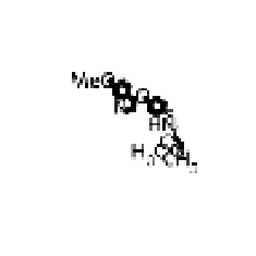 COc1ccc2c(Oc3ccc(SNC[C@@H]4COC(C)(C)O4)cc3)ccnc2c1